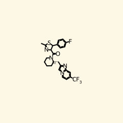 CC1=NC(C(=O)N2CCCC[C@H]2Cc2cn3ccc(C(F)(F)F)cc3n2)C(c2ccc(F)cc2)S1